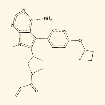 C=CC(=O)N1CCC(c2c(-c3ccc(OC4CCC4)cc3)c3c(N)ncnc3n2C)C1